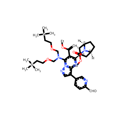 C=C(OCC)c1c([C@H]2C[C@H]3CC[C@@H](C2)N3C(=O)OC(C)(C)C)nc2c(-c3ccc(C=O)nc3)cnn2c1N(COCC[Si](C)(C)C)COCC[Si](C)(C)C